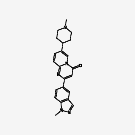 CN1CCC(c2ccc3nc(-c4ccc5c(cnn5C)c4)cc(=O)n3c2)CC1